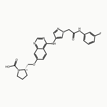 O=C(Cn1cc(Nc2ncnc3cc(OC[C@@H]4CCCN4C(=O)O)ccc23)cn1)Nc1cccc(F)c1